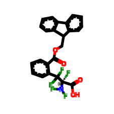 O=C(OCC1c2ccccc2-c2ccccc21)c1ccccc1C(F)(F)[C@@](F)(C(=O)O)N(F)F